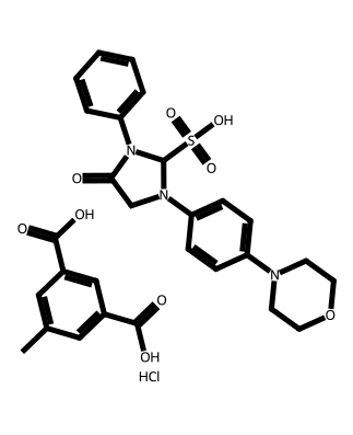 Cc1cc(C(=O)O)cc(C(=O)O)c1.Cl.O=C1CN(c2ccc(N3CCOCC3)cc2)C(S(=O)(=O)O)N1c1ccccc1